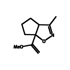 C=C(OC)C12CCCC1C(C)=NO2